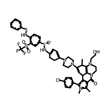 Cc1c2c(c(-c3ccc(Cl)cc3)n1C)C1C=C(N3CCN(C4=CC=C(N[S+]([O-])c5ccc(NSc6ccccc6)c(S(=O)(=O)C(F)(F)F)c5)CC4)CC3)C(C)C3=C1N(CCN3CCO)C2=O